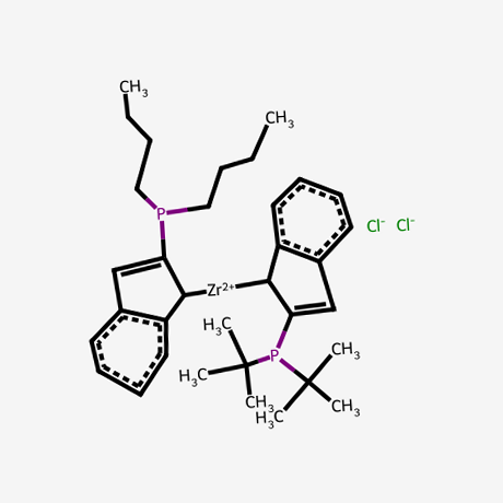 CCCCP(CCCC)C1=Cc2ccccc2[CH]1[Zr+2][CH]1C(P(C(C)(C)C)C(C)(C)C)=Cc2ccccc21.[Cl-].[Cl-]